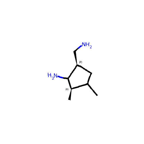 CC1C[C@H](CN)C(N)[C@@H]1C